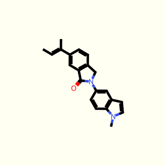 CC=C(C)c1ccc2c(c1)C(=O)N(c1ccc3c(ccn3C)c1)C2